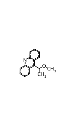 COC(C)c1c2ccccc2nc2ccccc12